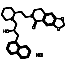 Cl.O=C1c2cc3c(cc2CCN1CCC1CCCCN1CC(O)Cc1cccc2ccccc12)OCO3